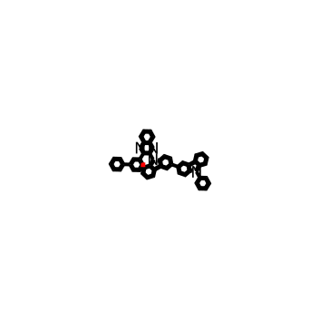 c1ccc(-c2cccc(-c3nc4ccccc4nc3-n3c4ccccc4c4cc(-c5ccc6c(c5)c5ccccc5n6-c5ccccc5)ccc43)c2)cc1